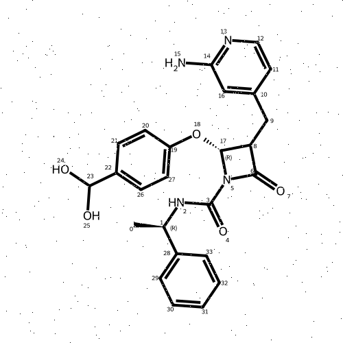 C[C@@H](NC(=O)N1C(=O)C(Cc2ccnc(N)c2)[C@H]1Oc1ccc(C(O)O)cc1)c1ccccc1